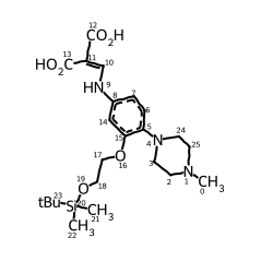 CN1CCN(c2ccc(NC=C(C(=O)O)C(=O)O)cc2OCCO[Si](C)(C)C(C)(C)C)CC1